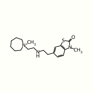 Cn1c(=O)sc2cc(CCNCC[N+]3(C)CCCCCC3)ccc21